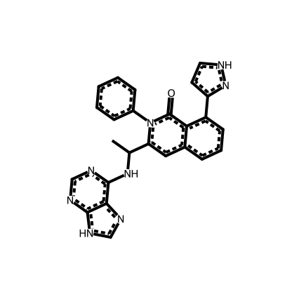 CC(Nc1ncnc2[nH]cnc12)c1cc2cccc(-c3cc[nH]n3)c2c(=O)n1-c1ccccc1